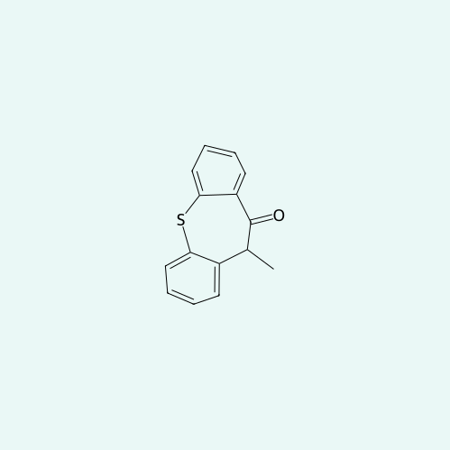 CC1C(=O)c2ccccc2Sc2ccccc21